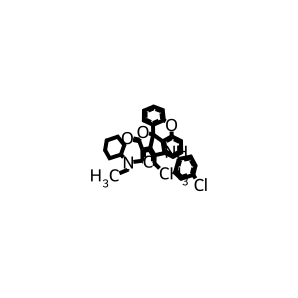 CCN(c1cc(C)c(Nc2ccc(Cl)cc2)c2c1C(=O)OC21c2ccccc2Oc2ccccc21)C1CCCCC1